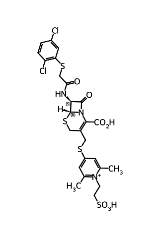 Cc1cc(SCC2=C(C(=O)O)N3C(=O)[C@H](NC(=O)CSc4cc(Cl)ccc4Cl)[C@H]3SC2)cc(C)[n+]1CCS(=O)(=O)O